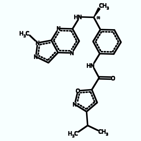 CC(C)c1cc(C(=O)Nc2cccc([C@H](C)Nc3cnc4cnn(C)c4n3)c2)on1